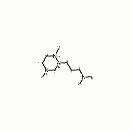 CN(C)CC[CH2][Al]1[CH2]N(C)CC[N]1C